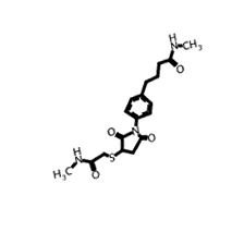 CNC(=O)CCCc1ccc(N2C(=O)CC(SCC(=O)NC)C2=O)cc1